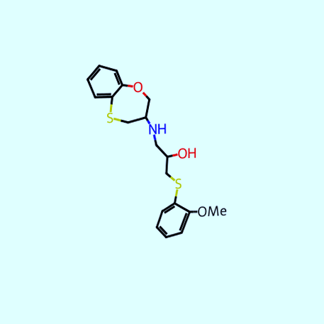 COc1ccccc1SCC(O)CNC1COc2ccccc2SC1